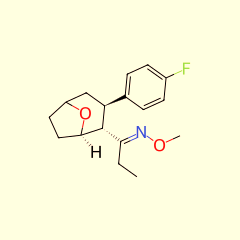 CCC(=NOC)[C@@H]1[C@H]2CCC(C[C@H]1c1ccc(F)cc1)O2